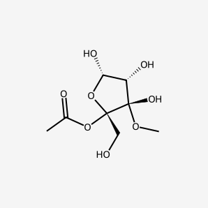 CO[C@@]1(O)[C@@H](O)[C@@H](O)O[C@@]1(CO)OC(C)=O